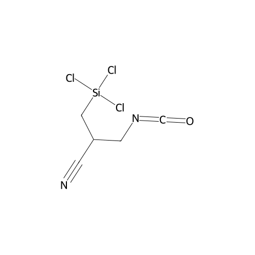 N#CC(CN=C=O)C[Si](Cl)(Cl)Cl